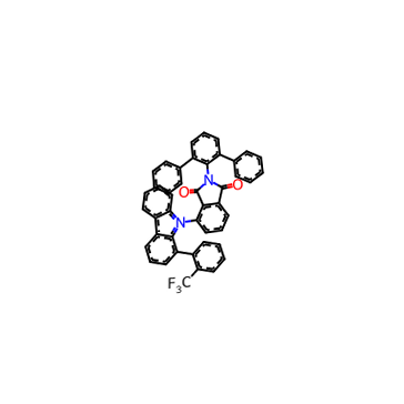 O=C1c2cccc(-n3c4ccccc4c4cccc(-c5ccccc5C(F)(F)F)c43)c2C(=O)N1c1c(-c2ccccc2)cccc1-c1ccccc1